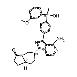 COc1cccc([C@](C)(O)c2ccc(-c3nc([C@@H]4CC[C@H]5CCC(=O)N5C4)n4ccnc(N)c34)cc2)c1